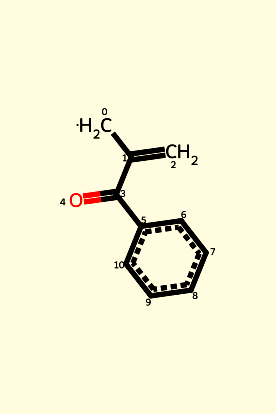 [CH2]C(=C)C(=O)c1ccccc1